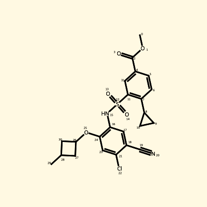 COC(=O)c1ccc(C2CC2)c(S(=O)(=O)Nc2cc(C#N)c(Cl)cc2OC2CC(C)C2)c1